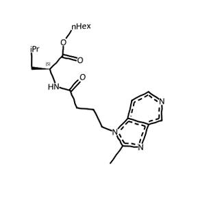 CCCCCCOC(=O)[C@H](CC(C)C)NC(=O)CCCn1c(C)nc2cnccc21